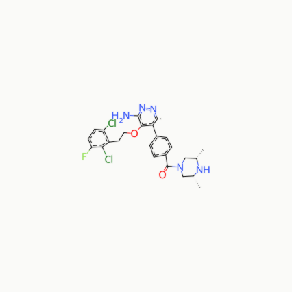 C[C@@H]1CN(C(=O)c2ccc(-c3[c]nnc(N)c3OCCc3c(Cl)ccc(F)c3Cl)cc2)C[C@H](C)N1